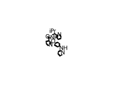 CC(C)C(CNC(=O)c1cccnc1Oc1ccc(Nc2ccccn2)cc1)c1ccccn1